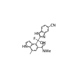 CNC(=O)c1cc(C)c2[nH]ccc2c1C(O)(F)c1nc2cc(C#N)ccc2[nH]1